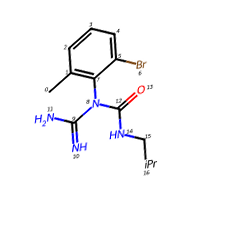 Cc1cccc(Br)c1N(C(=N)N)C(=O)NCC(C)C